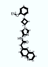 CCOc1ccccc1[C@H]1C[C@@H](n2cnc(NC(=O)Cc3ccc4ncccc4c3)c2)C1